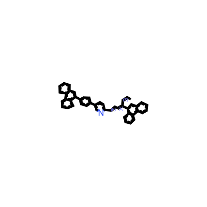 C\C=C/C(=C\C=C\c1ccc(-c2ccc(-c3cc4ccccc4c4ccccc34)cc2)cn1)c1cc2ccccc2c2ccccc12